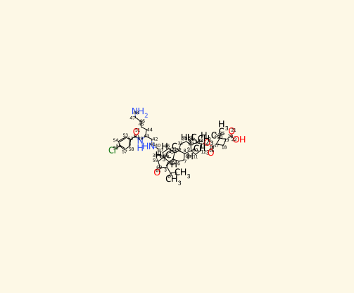 CC(C)C1=C2[C@H]3CC[C@@H]4[C@@]5(C)CC[C@H](OC(=O)[C@H]6C[C@@H](C(=O)O)C6(C)C)C(C)(C)[C@@H]5CC[C@@]4(C)[C@]3(C)CC[C@@]2(CCNCC(CCCCN)NC(=O)c2ccc(Cl)cc2)CC1=O